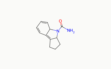 NC(=O)N1C2C=CC=CC2=C2CCCC21